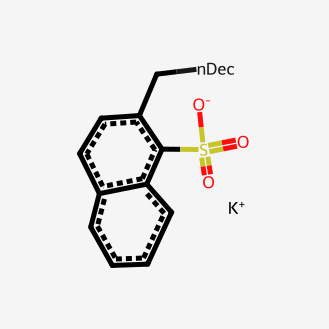 CCCCCCCCCCCc1ccc2ccccc2c1S(=O)(=O)[O-].[K+]